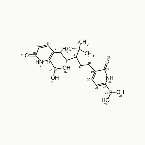 CC(C)(C)C(CCc1ccc(=O)[nH]c1B(O)O)CCc1ccc(B(O)O)[nH]c1=O